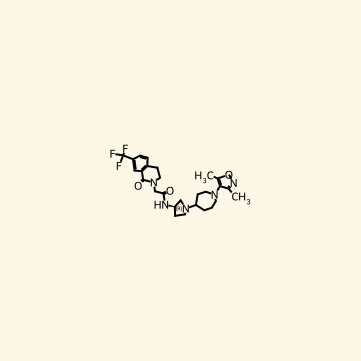 Cc1noc(C)c1N1CCCC(N2CC[C@@H](NC(=O)CN3CCc4ccc(C(F)(F)F)cc4C3=O)C2)CC1